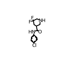 O=C(Nc1ccc(Cl)cc1)C1CNCC(F)(F)C1